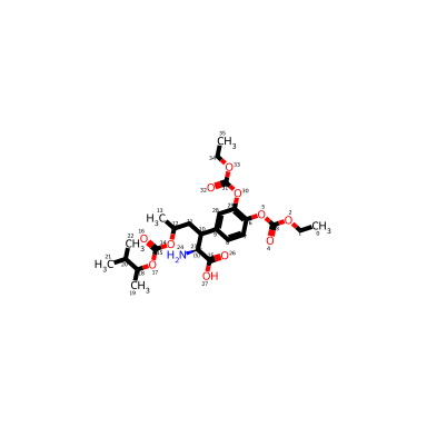 CCOC(=O)Oc1ccc(C(CC(C)OC(=O)OC(C)C(C)C)[C@H](N)C(=O)O)cc1OC(=O)OCC